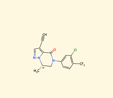 C#Cc1cnn2c1C(=O)N(c1ccc(C(F)(F)F)c(Cl)c1)C[C@@H]2C